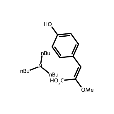 CCCCN(CCCC)CCCC.COC(=Cc1ccc(O)cc1)C(=O)O